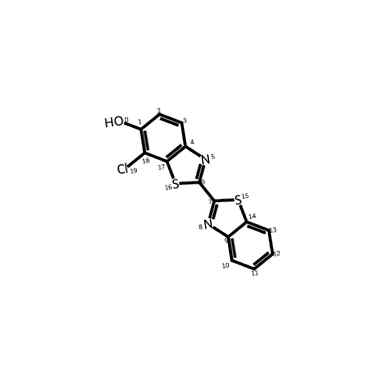 Oc1ccc2nc(-c3nc4ccccc4s3)sc2c1Cl